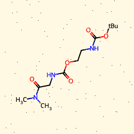 CN(C)C(=O)CNC(=O)OCCNC(=O)OC(C)(C)C